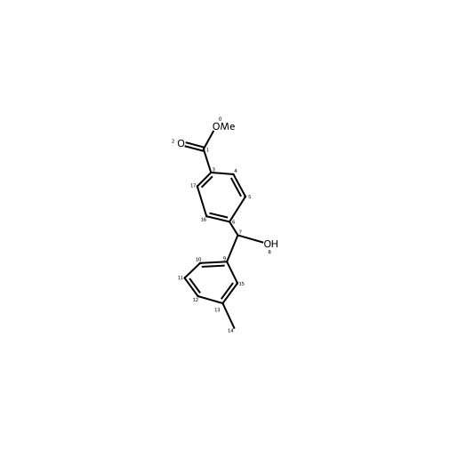 COC(=O)c1ccc(C(O)c2cccc(C)c2)cc1